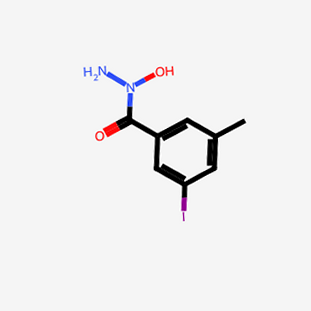 Cc1cc(I)cc(C(=O)N(N)O)c1